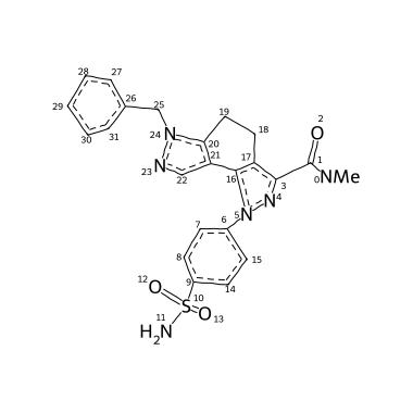 CNC(=O)c1nn(-c2ccc(S(N)(=O)=O)cc2)c2c1CCc1c-2cnn1Cc1ccccc1